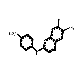 CCOC(=O)c1ccc(Nc2cnc3cc(N)c(C)nc3n2)cc1